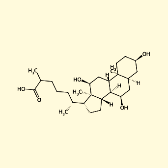 CC(CCC[C@@H](C)[C@H]1CC[C@H]2[C@@H]3[C@H](O)C[C@@H]4C[C@H](O)CC[C@]4(C)[C@H]3C[C@H](O)[C@]12C)C(=O)O